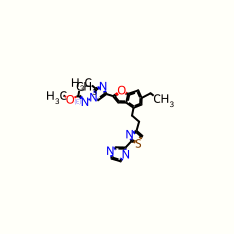 CCc1cc(CCc2csc(-c3cnccn3)n2)c2cc(-c3cn(/N=C(\C)OC)c(C)n3)oc2c1